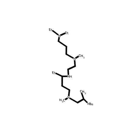 CCCCC(C)CN(C)CCC(CC)NCCN(C)CCCN(CC)CC